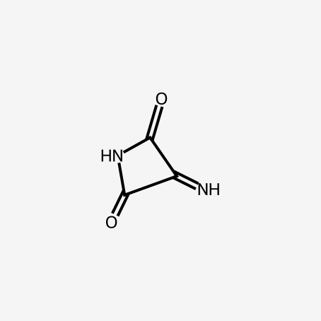 N=c1c(=O)[nH]c1=O